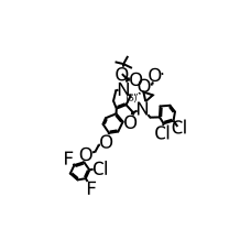 COCOC[C@@H]1C(C(=O)N(Cc2cccc(Cl)c2Cl)C2CC2)=C(c2ccc(OCCOc3c(F)ccc(F)c3Cl)cc2)CCN1C(=O)OC(C)(C)C